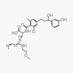 C/N=C\N=C(\NCCOC)NC[C@H](NC(=O)c1c(C)cc(CCC(O)c2cccc(O)c2)cc1Cl)C(=O)O